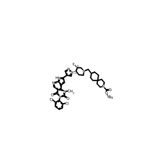 Cn1c(=O)n(-c2c(Cl)cccc2Cl)c(=O)c2cnc3[nH]c(-c4cnn([C@H]5CCN(CC6CCC7(CC6)CCN(C(=O)OC(C)(C)C)CC7)C[C@@H]5F)c4)cc3c21